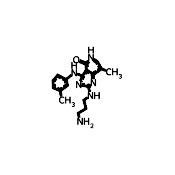 Cc1cccc(Nc2nc(NCCCN)nc3c(C)c[nH]c(=O)c23)c1